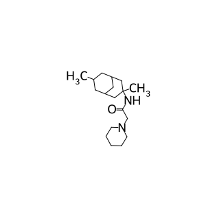 CC1CC2CC(C1)CC(C)(NC(=O)CN1CCCCC1)C2